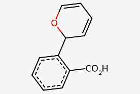 O=C(O)c1ccccc1C1C=CC=CO1